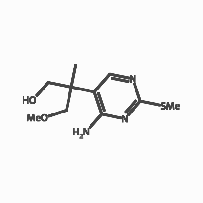 COCC(C)(CO)c1cnc(SC)nc1N